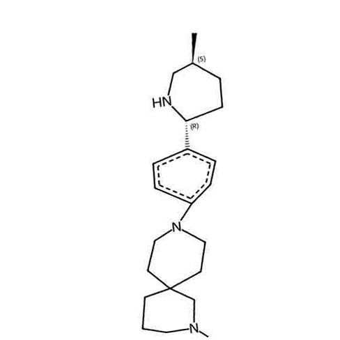 C[C@H]1CC[C@H](c2ccc(N3CCC4(CCCN(C)C4)CC3)cc2)NC1